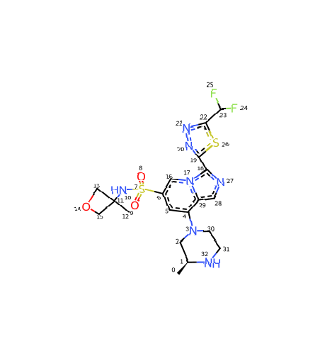 C[C@H]1CN(c2cc(S(=O)(=O)NC3(C)COC3)cn3c(-c4nnc(C(F)F)s4)ncc23)CCN1